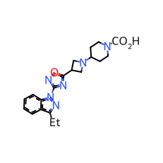 CCc1nn(-c2noc(C3CN(C4CCN(C(=O)O)CC4)C3)n2)c2ccccc12